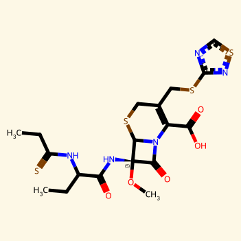 CCC(=S)NC(CC)C(=O)N[C@]1(OC)C(=O)N2C(C(=O)O)=C(CSc3ncsn3)CSC21